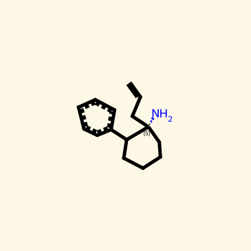 C=CC[C@@]1(N)CCCCC1c1ccccc1